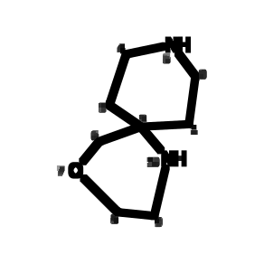 C1CC2(CCN1)COCCN2